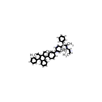 C=Cc1c(C=C)c(-c2ccccc2)c2ccccc2c1C1=CC=C(C(/C=C\C(=C)P(/C(C)=C/C=C\C)c2ccccc2)=C/C)C=CC1